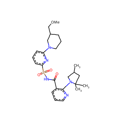 COCC1CCCN(c2cccc(S(=O)(=O)NC(=O)c3cccnc3N3CC(C)CC3(C)C)n2)C1